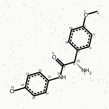 COc1ccc([C@H](N)C(=O)Nc2ccc(Cl)cc2)cc1